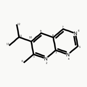 Cc1nc2ncncc2cc1C(C)C